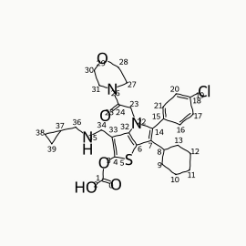 O=C(O)Oc1sc2c(C3CCCCC3)c(-c3ccc(Cl)cc3)n(CC(=O)N3CCOCC3)c2c1CNCC1CC1